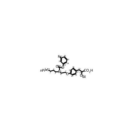 CCCSCCCN(CCOc1ccc(CC(OCC)C(=O)O)cc1)C(=O)Oc1cccc(F)c1